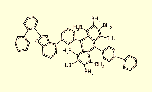 Bc1c(B)c(B)c2c(-c3cccc(-c4cccc5oc(-c6ccccc6-c6ccccc6)cc45)c3)c3c(B)c(B)c(B)c(B)c3c(-c3ccc(-c4ccccc4)cc3)c2c1B